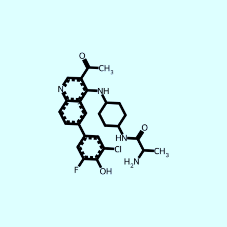 CC(=O)c1cnc2ccc(-c3cc(F)c(O)c(Cl)c3)cc2c1NC1CCC(NC(=O)C(C)N)CC1